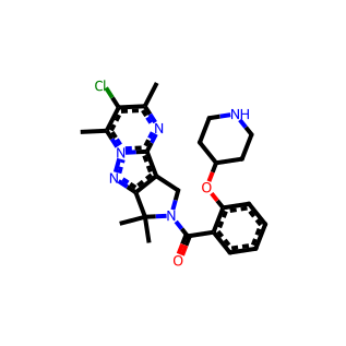 Cc1nc2c3c(nn2c(C)c1Cl)C(C)(C)N(C(=O)c1ccccc1OC1CCNCC1)C3